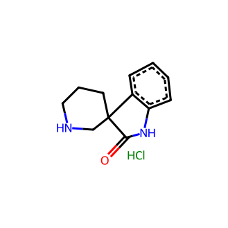 Cl.O=C1Nc2ccccc2C12CCCNC2